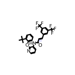 CC(C)(C)c1ccccc1Oc1ncccc1NC(=O)/C=C/c1cc(C(F)(F)F)cc(C(F)(F)F)c1